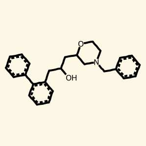 OC(Cc1ccccc1-c1ccccc1)CC1CN(Cc2ccccc2)CCO1